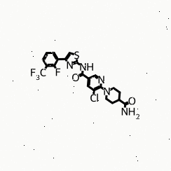 NC(=O)C1CCN(c2ncc(C(=O)Nc3nc(-c4cccc(C(F)(F)F)c4F)cs3)cc2Cl)CC1